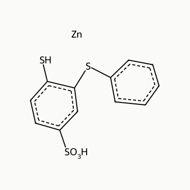 O=S(=O)(O)c1ccc(S)c(Sc2ccccc2)c1.[Zn]